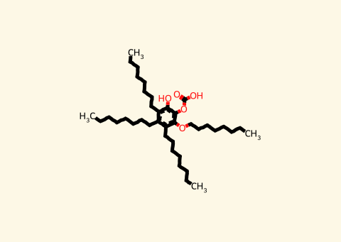 CCCCCCCCOc1c(CCCCCCCC)c(CCCCCCCC)c(CCCCCCCC)c(O)c1OC(=O)O